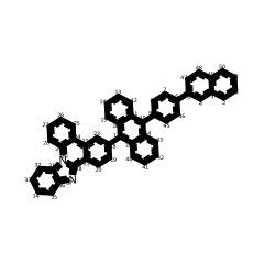 c1ccc2cc(-c3ccc(-c4c5ccccc5c(-c5ccc6c(c5)c5ccccc5n5c7ccccc7nc65)c5ccccc45)cc3)ccc2c1